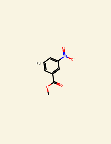 COC(=O)c1cccc([N+](=O)[O-])c1.[Pd]